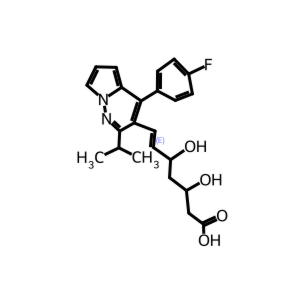 CC(C)c1nn2cccc2c(-c2ccc(F)cc2)c1/C=C/C(O)CC(O)CC(=O)O